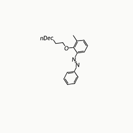 CCCCCCCCCCCCOc1c(C)cccc1N=Nc1ccccc1